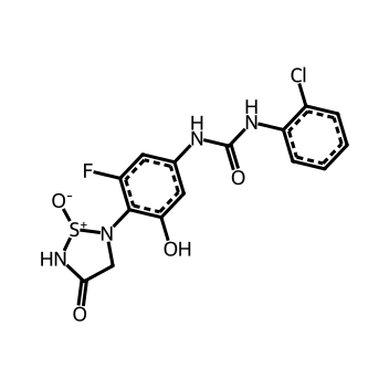 O=C1CN(c2c(O)cc(NC(=O)Nc3ccccc3Cl)cc2F)[S+]([O-])N1